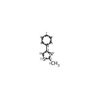 Cc1nc(-c2ccccc2)cs1